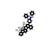 CC1(C)c2ccccc2-c2ccc3c(c21)C(C)(C)c1cc(C2=CC=C(c4nc5ccccc5n4-c4ccccc4)CC2)c2ccccc2c1-3